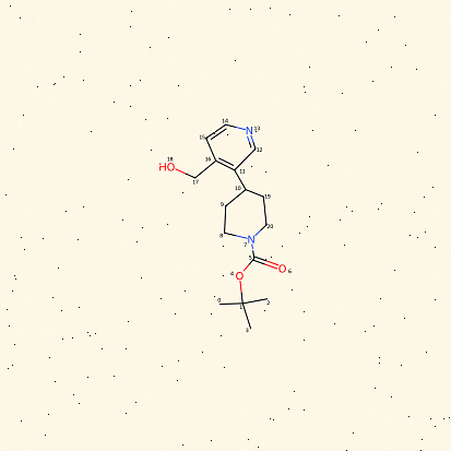 CC(C)(C)OC(=O)N1CCC(c2cnccc2CO)CC1